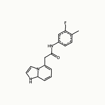 Cc1ccc(NC(=O)CC2=CC=CC3NC=CN23)cc1F